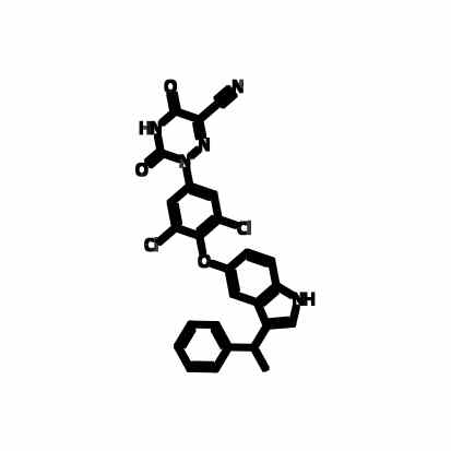 CC(c1ccccc1)c1c[nH]c2ccc(Oc3c(Cl)cc(-n4nc(C#N)c(=O)[nH]c4=O)cc3Cl)cc12